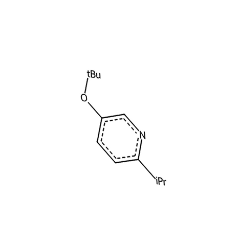 CC(C)c1ccc(OC(C)(C)C)cn1